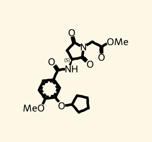 COC(=O)CN1C(=O)C[C@H](NC(=O)c2ccc(OC)c(OC3CCCC3)c2)C1=O